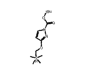 CC(C)(C)OC(=O)n1ccc(OC[SH](C)(C)(C)C)n1